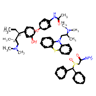 CC(=O)Nc1ccc(O)cc1.CC(CN1c2ccccc2Sc2ccccc21)N(C)C.CC[C@@H](c1cccc(O)c1)[C@@H](C)CN(C)C.NC(=O)C[S+]([O-])C(c1ccccc1)c1ccccc1